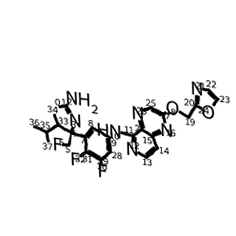 C/C(N)=N\[C@](CF)(c1cc(Nc2nccc3nc(OCc4ncco4)cnc23)cc(F)c1F)C(C)C(C)C